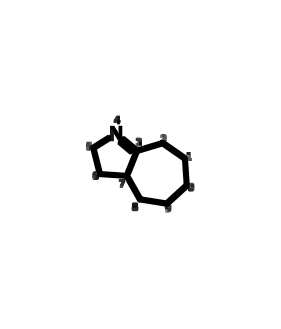 C1CCC2=NCCC2CC1